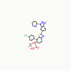 Cn1nc(-c2ccccn2)c2cc(-c3nc4ccc([C@H](OC(C)(C)C)C(=O)O)c(-c5ccc(Cl)cc5)c4s3)ccc21